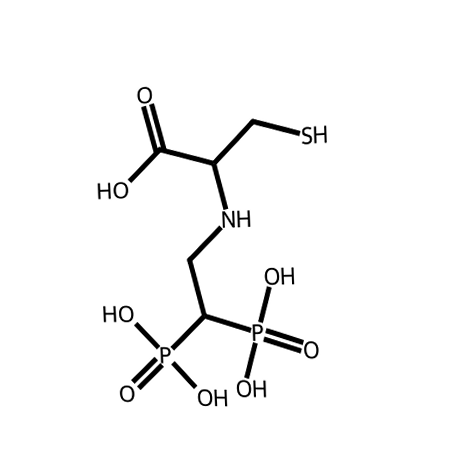 O=C(O)C(CS)NCC(P(=O)(O)O)P(=O)(O)O